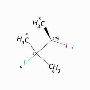 C[C@@H](I)C(C)(C)F